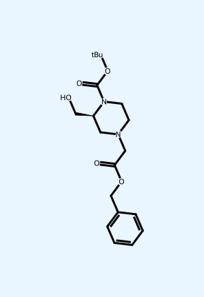 CC(C)(C)OC(=O)N1CCN(CC(=O)OCc2ccccc2)C[C@H]1CO